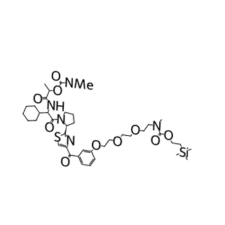 CNC(=O)OC(C)C(=O)NC(C(=O)N1CCC[C@H]1c1nc(C(=O)c2cccc(OCCOCCOCCN(C)C(=O)OCC[Si](C)(C)C)c2)cs1)C1CCCCC1